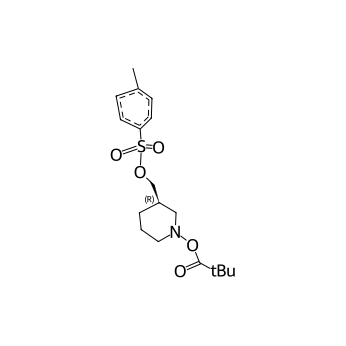 Cc1ccc(S(=O)(=O)OC[C@@H]2CCCN(OC(=O)C(C)(C)C)C2)cc1